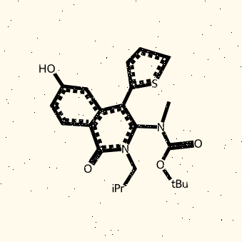 CC(C)Cn1c(N(C)C(=O)OC(C)(C)C)c(-c2cccs2)c2cc(O)ccc2c1=O